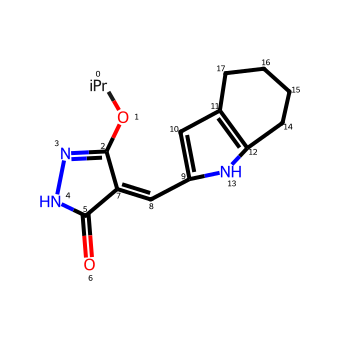 CC(C)OC1=NNC(=O)C1=Cc1cc2c([nH]1)CCCC2